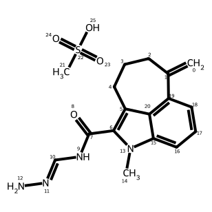 C=C1CCCc2c(C(=O)NC=NN)n(C)c3cccc1c23.CS(=O)(=O)O